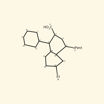 CCCCCC1CC(C(=O)O)C(C2CCCCC2)C2CCC(CC)CC12